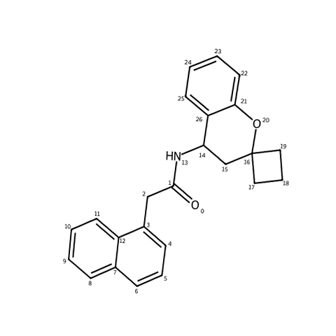 O=C(Cc1cccc2ccccc12)NC1CC2(CCC2)Oc2ccccc21